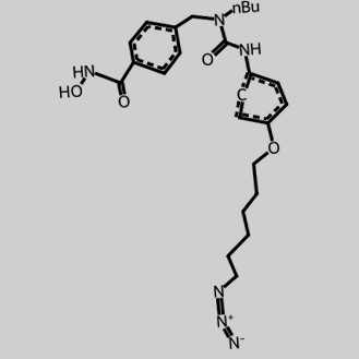 CCCCN(Cc1ccc(C(=O)NO)cc1)C(=O)Nc1ccc(OCCCCCCN=[N+]=[N-])cc1